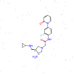 N[C@H]1CN(CC(=O)Nc2ccc(-n3ccccc3=O)cc2F)C[C@@H]1CNC1CC1